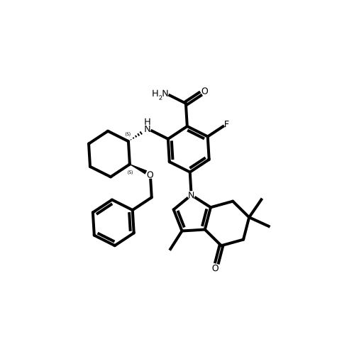 Cc1cn(-c2cc(F)c(C(N)=O)c(N[C@H]3CCCC[C@@H]3OCc3ccccc3)c2)c2c1C(=O)CC(C)(C)C2